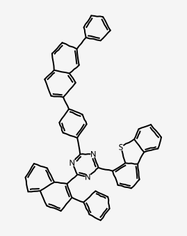 c1ccc(-c2ccc3ccc(-c4ccc(-c5nc(-c6c(-c7ccccc7)ccc7ccccc67)nc(-c6cccc7c6sc6ccccc67)n5)cc4)cc3c2)cc1